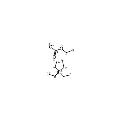 CCOC(=O)[O-].CC[P+](CC)(CC)CC